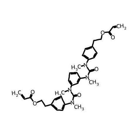 C=CC(=O)OCCc1ccc(N(C)C(=O)N(C)c2cccc(N(C)C(=O)N(C)c3ccc(CCOC(=O)C=C)cc3)c2)cc1